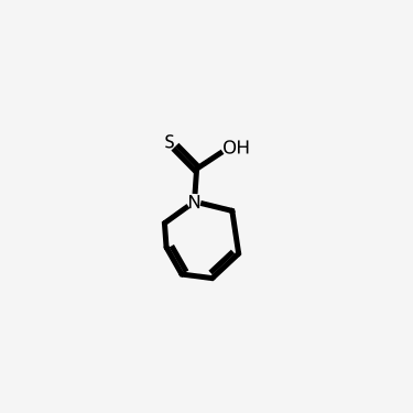 OC(=S)N1CC=CC=CC1